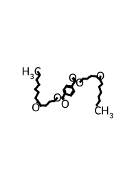 CCCCCCCC1OC1CCCOC(=O)c1ccc(C(=O)OCCCC2OC2CCCCCCC)cc1